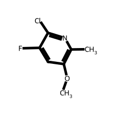 COc1cc(F)c(Cl)nc1C